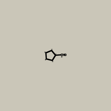 O=C[C]1CCCC1